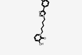 Cc1cccc(-c2cn(CCCCCn3cccc(O)c3=O)nn2)c1